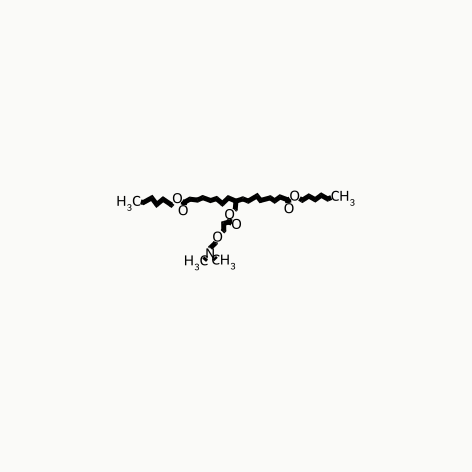 CCCCCCOC(=O)CCCCCCCC(CCCCCCCC(=O)OCCCCCC)COC(=O)CCOCCN(C)C